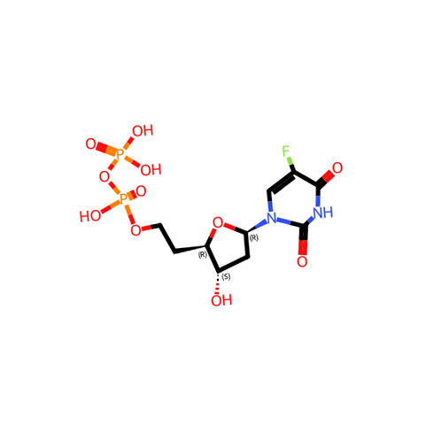 O=c1[nH]c(=O)n([C@H]2C[C@H](O)[C@@H](CCOP(=O)(O)OP(=O)(O)O)O2)cc1F